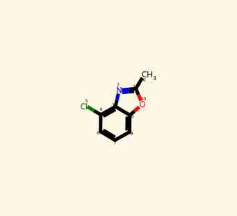 Cc1nc2c(Cl)cccc2o1